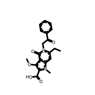 CCc1cc2c(c(OC)c(C(=O)O)n2C)c(=O)n1CC(=O)c1ccccc1